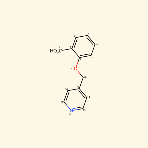 O=C(O)c1ccccc1OCc1ccncc1